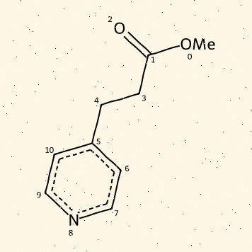 COC(=O)CCc1ccncc1